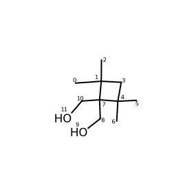 CC1(C)CC(C)(C)C1(CO)CO